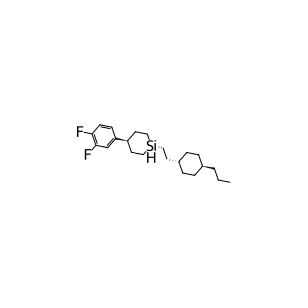 CCC[C@H]1CC[C@H](CC[Si@H]2CC[C@H](c3ccc(F)c(F)c3)CC2)CC1